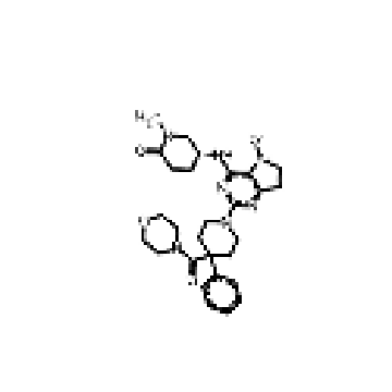 CN1C[C@@H](Nc2nc(N3CCC(C(=O)N4CCOCC4)(c4ccccc4)CC3)nc3c2[S+]([O-])CC3)CCC1=O